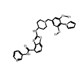 CCOc1cc(CN2CCC(Nc3nc4c(C(=O)Nc5cccnc5)cccc4o3)CC2)cc(OCC)c1-n1cccc1